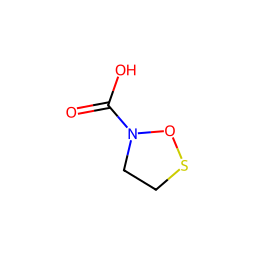 O=C(O)N1CCSO1